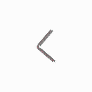 [Ir].[Ir].[Ir].[Ir].[Ir].[Ir].[Ir].[Ir].[Ir].[Ir].[Pt].[Pt].[Pt].[Pt].[Pt].[Pt].[Pt].[Pt].[Pt].[Pt].[Pt].[Pt].[Pt].[Pt].[Pt].[Pt].[Pt].[Pt].[Pt].[Pt].[Pt].[Pt].[Pt].[Pt].[Pt].[Pt].[Pt].[Pt].[Pt].[Pt].[Pt].[Pt].[Pt].[Pt].[Pt].[Pt].[Pt].[Pt].[Pt].[Pt].[Pt].[Pt].[Pt].[Pt].[Pt].[Pt].[Pt].[Pt].[Pt].[Pt].[Pt].[Pt].[Pt].[Pt].[Pt].[Pt].[Pt].[Pt].[Pt].[Pt].[Pt].[Pt].[Pt].[Pt].[Pt].[Pt].[Pt].[Pt].[Pt].[Pt].[Pt].[Pt].[Pt].[Pt].[Pt].[Pt].[Pt].[Pt].[Pt].[Pt].[Pt].[Pt].[Pt].[Pt].[Pt].[Pt].[Pt].[Pt].[Pt].[Pt]